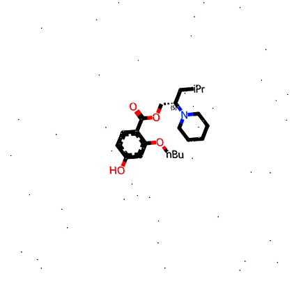 CCCCOc1cc(O)ccc1C(=O)OC[C@H](CC(C)C)N1CCCCC1